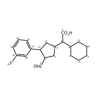 O=CC1CN(C(C(=O)O)C2CCCCC2)CC1c1cccc(F)c1